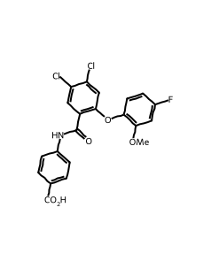 COc1cc(F)ccc1Oc1cc(Cl)c(Cl)cc1C(=O)Nc1ccc(C(=O)O)cc1